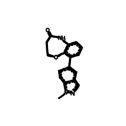 Cn1ncc2cc(-c3cccc4c3OCCC(=O)N4)ccc21